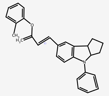 C=C(/C=C/c1ccc2c(c1)C1CCCC1N2c1ccccc1)Oc1ccccc1C